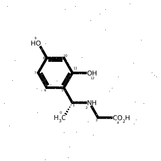 C[C@@H](NCC(=O)O)c1ccc(O)cc1O